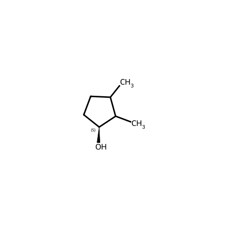 CC1CC[C@H](O)C1C